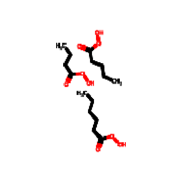 CCCC(=O)OO.CCCCC(=O)OO.CCCCCC(=O)OO